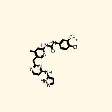 Cc1cc(NC(=O)Nc2ccc(Cl)c(C(F)(F)F)c2)ncc1Cc1nccc(Nc2ccn[nH]2)n1